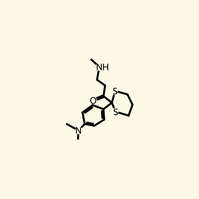 CNCCC(=O)C1(c2ccc(N(C)C)cc2)SCCCS1